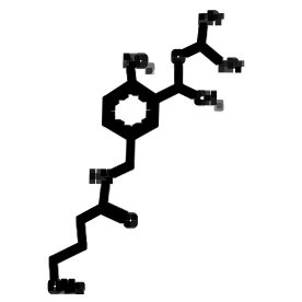 CCCC(CCC)OC(C)c1cc(CNC(=O)CCCOC)ccc1[N+](=O)[O-]